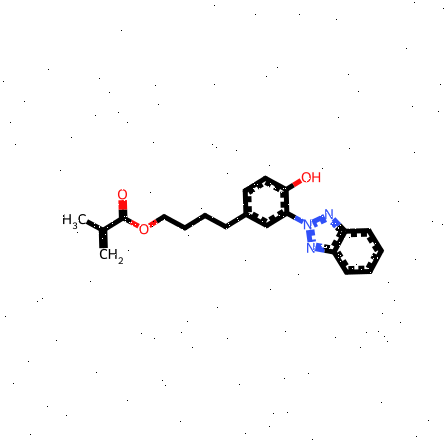 C=C(C)C(=O)OCCCCc1ccc(O)c(-n2nc3ccccc3n2)c1